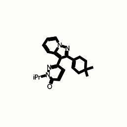 CC(C)n1nc(-c2c(C3=CCC(C)(C)CC3)nn3ccccc23)ccc1=O